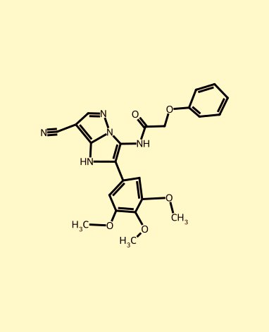 COc1cc(-c2[nH]c3c(C#N)cnn3c2NC(=O)COc2ccccc2)cc(OC)c1OC